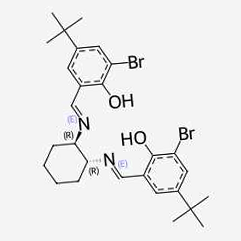 CC(C)(C)c1cc(Br)c(O)c(/C=N/[C@@H]2CCCC[C@H]2/N=C/c2cc(C(C)(C)C)cc(Br)c2O)c1